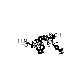 Cc1ncsc1-c1ccc(CNC(=O)[C@@H]2C[C@@H](O)CN2C(O)[C@@H](NC(=O)c2ccc(CO[C@H](C)[C@H](CCC(N)=O)NC(=O)[C@@H]3Cc4cccc5c4N3C(=O)[C@@H](N)CC5)cc2)C(C)(C)C)cc1